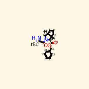 CC(C)(C)[C@H](N)C(=O)N1C[C@@H]2CCC[C@@H]2[C@H]1C(=O)OCc1ccccc1